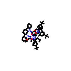 C=CC1=C(CC)N(C(=C)/C=C\CC)c2cc(-n3c4ccccc4c4ccc5c6ccccc6n(-c6nc(-c7ccc(C(C)(C)C)cc7)nc(-c7ccc(C(C)(C)C)cc7)n6)c5c43)cc3c2B1c1cc(C(C)(C)C)cc2c4cc(C(C)(C)C)ccc4n-3c12